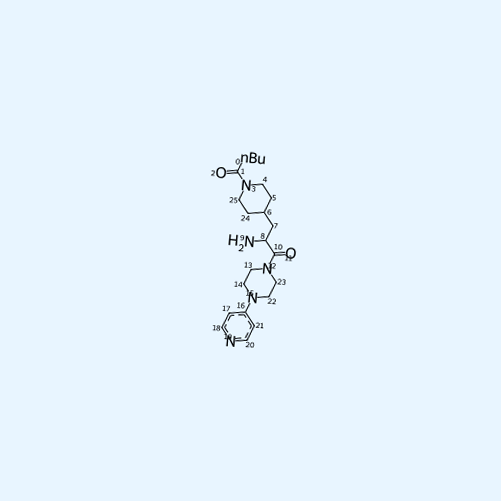 CCCCC(=O)N1CCC(CC(N)C(=O)N2CCN(c3ccncc3)CC2)CC1